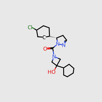 O=C(N1CC(O)(C2CCCCC2)C1)N1N=CC[C@H]1C1CCC(Cl)CC1